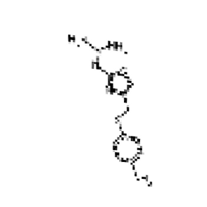 NC(N)=Nc1nc(CSc2ccc(N)cc2)cs1